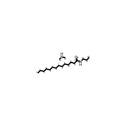 CCCCCCCCCCCCCC(=O)NCCC.CNC